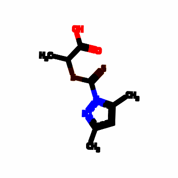 Cc1cc(C)n(C(=S)SC(C)C(=O)O)n1